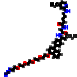 Cc1ccnc(NCCCCC(=O)NCC(=O)NC(CC(=O)O)c2ccc(-c3ccc(OCCOCCOCCOCCOCCN=[N+]=[N-])c4ccccc34)cc2)c1